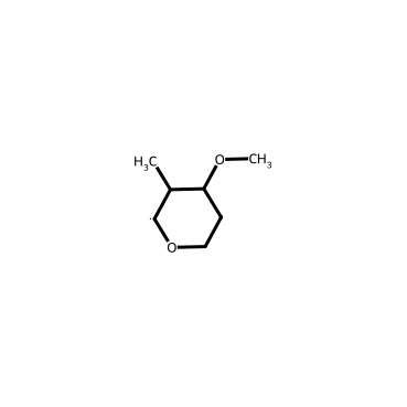 COC1CCO[CH]C1C